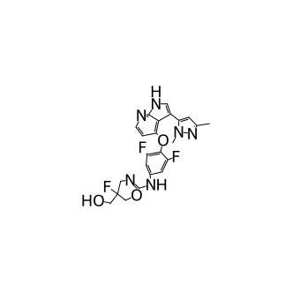 Cc1cc(-c2c[nH]c3nccc(Oc4c(F)cc(NC5=NCC(F)(CO)CO5)cc4F)c23)n(C)n1